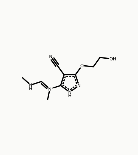 CNC=[N+](C)c1[nH]nc(OCCO)c1C#N